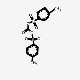 Cc1ccc(S(=O)(=O)OC(=O)OS(=O)(=O)c2ccc(C)cc2)cc1